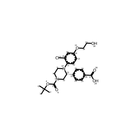 CC(C)(C)OC(=O)N1CCN(c2ccc(OCCO)cc2Cl)[C@H](c2ccc(C(=O)O)cc2)C1